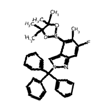 Cc1c(F)cc2nn(C(c3ccccc3)(c3ccccc3)c3ccccc3)cc2c1B1OC(C)(C)C(C)(C)O1